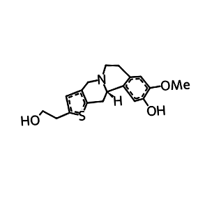 COc1cc2c(cc1O)[C@@H]1Cc3sc(CCO)cc3CN1CC2